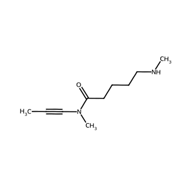 CC#CN(C)C(=O)CCCCNC